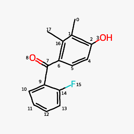 Cc1c(O)ccc(C(=O)c2ccccc2F)c1C